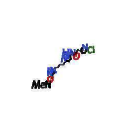 CNCOCc1cn(CCCCc2ccc(NC(=O)Cc3ccc(Cl)nc3)nn2)nn1